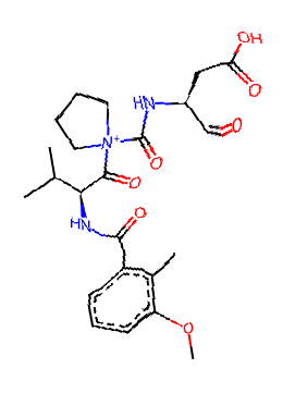 COc1cccc(C(=O)N[C@H](C(=O)[N+]2(C(=O)N[C@H](C=O)CC(=O)O)CCCC2)C(C)C)c1C